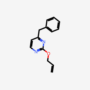 C=CCOc1nccc(Cc2ccccc2)n1